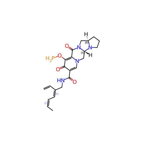 C=C/C(=C\C=C/C)CNC(=O)c1cn2c(c(OP)c1=O)C(=O)N1C[C@H]3CCCN3[C@@H]1C2